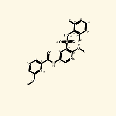 COc1cncc(C(=O)Nc2cnc(OC)c(S(=O)(=O)Nc3c(C)cccc3C)c2)n1